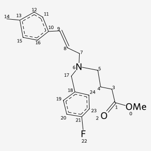 COC(=O)CCCN(C/C=C/c1ccc(C)cc1)Cc1ccc(F)cc1